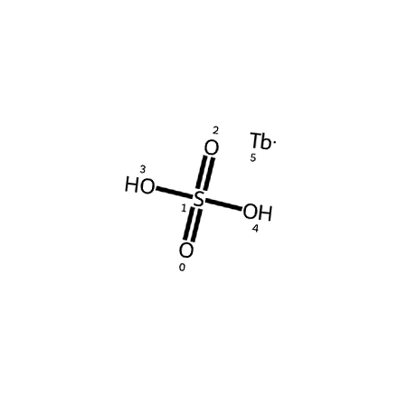 O=S(=O)(O)O.[Tb]